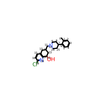 Cc1ccccc1C1CCN(CC2Cc3ccc(Cl)nc3C(O)C2)CC1